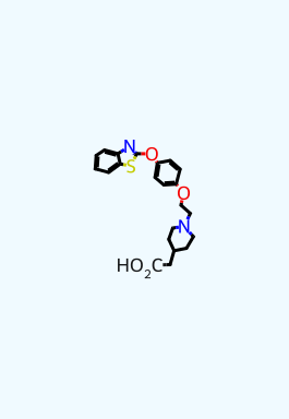 O=C(O)CC1CCN(CCOc2ccc(Oc3nc4ccccc4s3)cc2)CC1